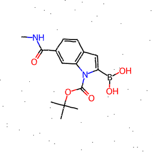 CNC(=O)c1ccc2cc(B(O)O)n(C(=O)OC(C)(C)C)c2c1